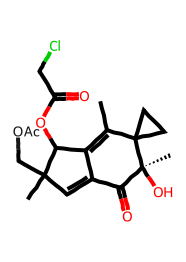 CC(=O)OCC1(C)C=C2C(=O)[C@](C)(O)C3(CC3)C(C)=C2C1OC(=O)CCl